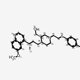 COc1ccc2nccc([C@@H](F)CC[C@@H]3CCN(CCSc4ccc(F)cc4)C[C@@H]3CO)c2c1